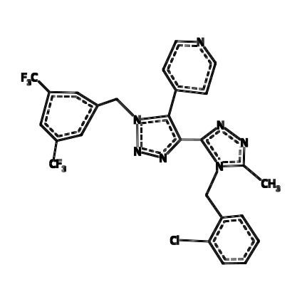 Cc1nnc(-c2nnn(Cc3cc(C(F)(F)F)cc(C(F)(F)F)c3)c2-c2ccncc2)n1Cc1ccccc1Cl